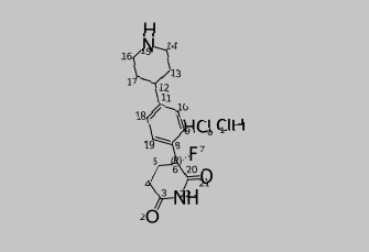 Cl.Cl.O=C1CC[C@@](F)(c2ccc(C3CCNCC3)cc2)C(=O)N1